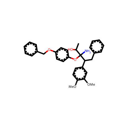 COc1ccc(C(Cc2ccccc2)C(N)(Oc2ccc(OCc3ccccc3)cc2)C(C)O)cc1OC